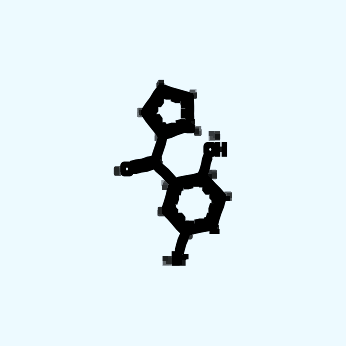 O=C(c1cccs1)c1cc(Br)ccc1O